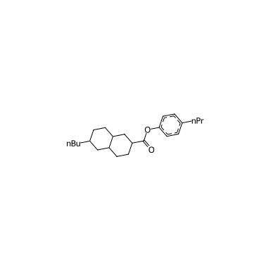 CCCCC1CCC2CC(C(=O)Oc3ccc(CCC)cc3)CCC2C1